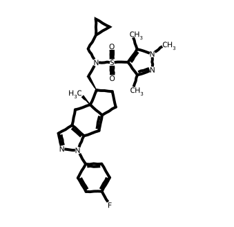 Cc1nn(C)c(C)c1S(=O)(=O)N(CC1CC1)C[C@H]1CCC2=Cc3c(cnn3-c3ccc(F)cc3)C[C@@]21C